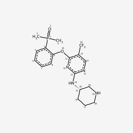 CP(C)(=O)c1ccccc1Oc1nc(N[C@H]2CCCNC2)ncc1C(F)(F)F